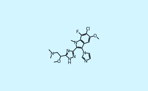 COc1cc2c(-n3ccnc3)c(-c3n[nH]c(C(CN(C)C)OC)n3)n(C)c2c(F)c1Cl